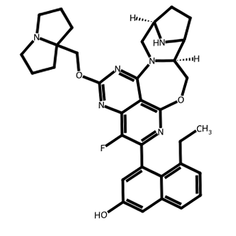 CCc1cccc2cc(O)cc(-c3nc4c5c(nc(OCC67CCCN6CCC7)nc5c3F)N3C[C@H]5CCC(N5)[C@H]3CO4)c12